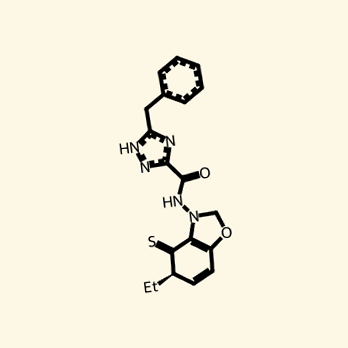 CC[C@@H]1C=CC2=C(C1=S)N(NC(=O)c1n[nH]c(Cc3ccccc3)n1)CO2